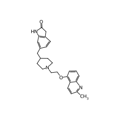 Cc1ccc2c(OCCN3CCC(Cc4ccc5c(c4)NC(=O)C5)CC3)cccc2n1